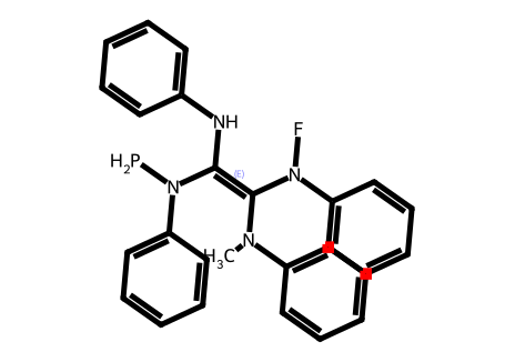 CN(/C(=C(/Nc1ccccc1)N(P)c1ccccc1)N(F)c1ccccc1)c1ccccc1